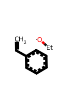 C=Cc1ccccc1.CC[O]